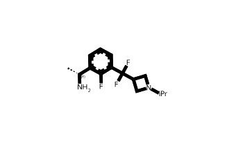 CC(C)N1CC(C(F)(F)c2cccc([C@@H](C)N)c2F)C1